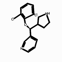 Clc1cccc(Cl)c1O[C@H](c1cccnc1)C1CCNC1